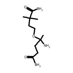 BC(=O)CCC(C)(N)OCCC(C)(C)C(B)=O